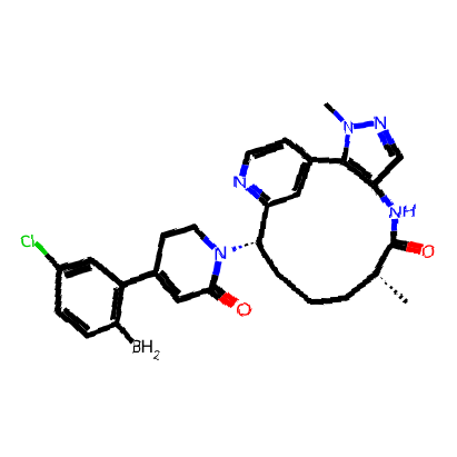 Bc1ccc(Cl)cc1C1=CC(=O)N([C@H]2CCC[C@@H](C)C(=O)Nc3cnn(C)c3-c3ccnc2c3)CC1